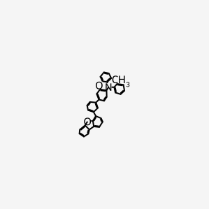 Cc1ccccc1N1c2ccccc2Oc2cc(-c3cccc(-c4cccc5c4oc4ccccc45)c3)ccc21